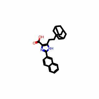 O=C(O)c1nc(-c2ccc3ccccc3c2)[nH]c1CCC12CC3CC(CC(C3)C1)C2